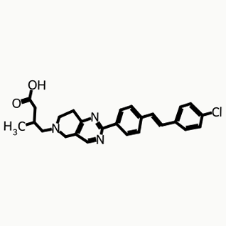 CC(CC(=O)O)CN1CCc2nc(-c3ccc(/C=C/c4ccc(Cl)cc4)cc3)ncc2C1